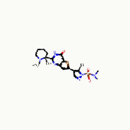 CCc1c(-c2cc3nc([C@@]4(C(C)(C)C)CCCCN4C(=O)O)[nH]c(=O)c3s2)cnn1S(=O)(=O)N(C)C